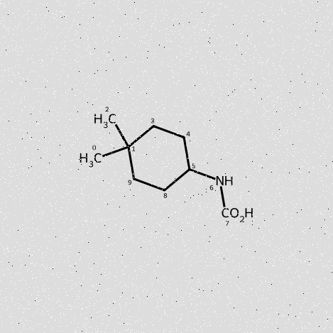 CC1(C)CCC(NC(=O)O)CC1